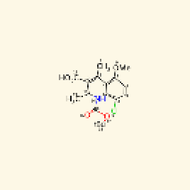 COc1ccc(Cl)cc1/C(C)=C(/C(=O)O)C(C)NC(=O)OC(C)(C)C